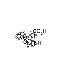 CN(C(=O)/C(=C/c1ccc(C(=O)O)cc1)COc1cccc2ccccc12)C1CCNCC1